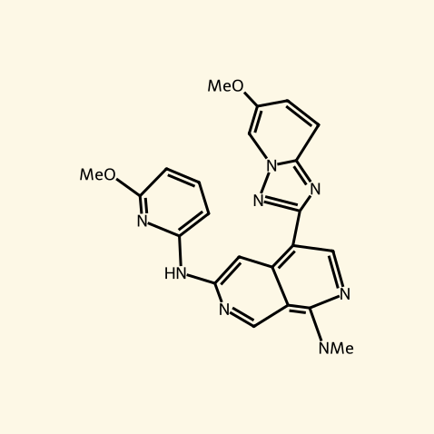 CNc1ncc(-c2nc3ccc(OC)cn3n2)c2cc(Nc3cccc(OC)n3)ncc12